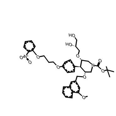 COc1cc(CO[C@H]2CN(C(=O)OC(C)(C)C)C[C@@H](OC[C@H](O)CO)[C@@H]2c2ccc(OCCCOc3ccccc3[N+](=O)[O-])cc2)cc2ccccc12